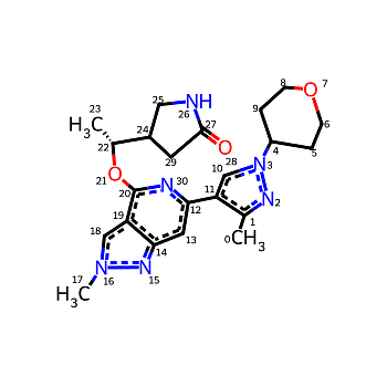 Cc1nn(C2CCOCC2)cc1-c1cc2nn(C)cc2c(O[C@H](C)C2CNC(=O)C2)n1